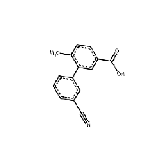 Cc1ccc(C(=O)O)cc1-c1cccc(C#N)c1